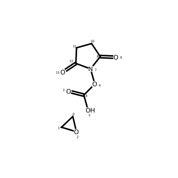 C1CO1.O=C(O)ON1C(=O)CCC1=O